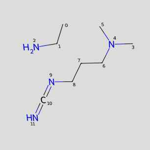 CCN.CN(C)CCCN=C=N